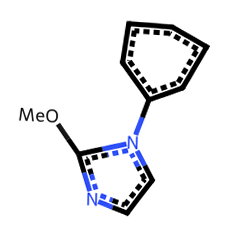 COc1nccn1-c1ccccc1